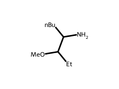 CCCCC(N)C(CC)OC